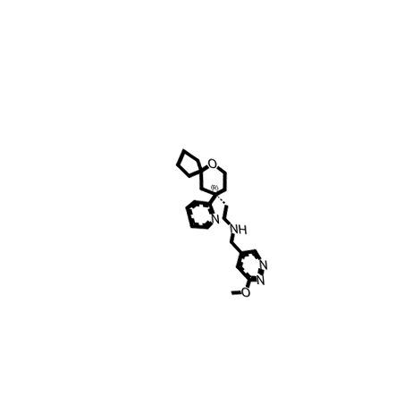 COc1cc(CNCC[C@@]2(c3ccccn3)CCOC3(CCCC3)C2)cnn1